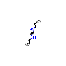 N#CCCN/C=C/NCCC#N